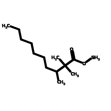 CCCCCCCC(C)C(C)(C)C(=O)O[SiH3]